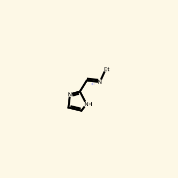 CC/N=C/c1ncc[nH]1